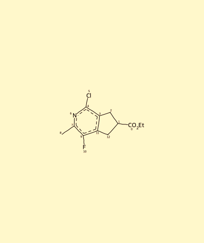 CCOC(=O)C1Cc2c(Cl)nc(C)c(F)c2C1